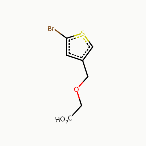 O=C(O)COCc1csc(Br)c1